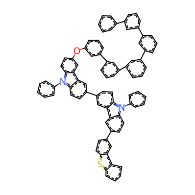 c1ccc(-c2cccc(-c3cccc(-c4cccc(-c5cccc(-c6cccc(Oc7ccc8c(c7)c7cc(-c9ccc%10c(c9)c9cc(-c%11ccc%12sc%13ccccc%13c%12c%11)ccc9n%10-c9ccccc9)ccc7n8-c7ccccc7)c6)c5)c4)c3)c2)cc1